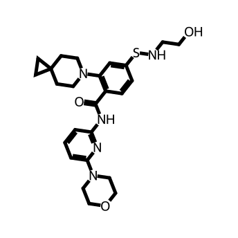 O=C(Nc1cccc(N2CCOCC2)n1)c1ccc(SNCCO)cc1N1CCC2(CC1)CC2